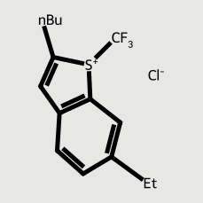 CCCCc1cc2ccc(CC)cc2[s+]1C(F)(F)F.[Cl-]